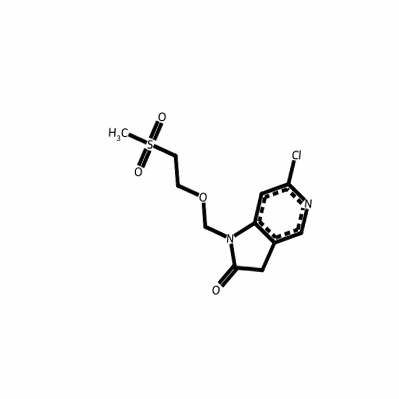 CS(=O)(=O)CCOCN1C(=O)Cc2cnc(Cl)cc21